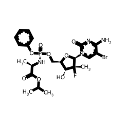 CC(C)OC(=O)[C@@H](C)N[P@](=O)(OC[C@H]1O[C@@H](n2cc(Br)c(N)nc2=O)[C@](C)(F)[C@@H]1O)Oc1ccccc1